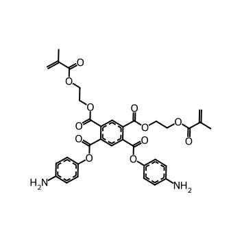 C=C(C)C(=O)OCCOC(=O)c1cc(C(=O)OCCOC(=O)C(=C)C)c(C(=O)Oc2ccc(N)cc2)cc1C(=O)Oc1ccc(N)cc1